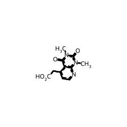 Cn1c(=O)c2c(CC(=O)O)ccnc2n(C)c1=O